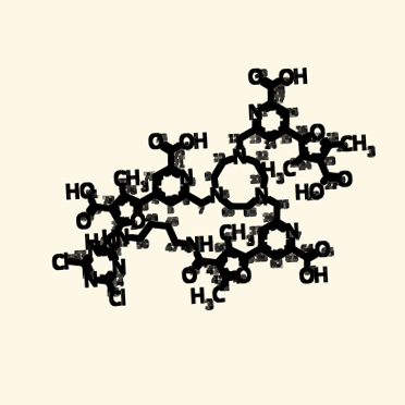 Cc1oc(-c2cc(CN3CCN(Cc4cc(-c5oc(C)c(C(=O)O)c5C)cc(C(=O)O)n4)CCN(Cc4cc(-c5oc(C)c(C(=O)NCCCCNc6nc(Cl)nc(Cl)n6)c5C)cc(C(=O)O)n4)CC3)nc(C(=O)O)c2)c(C)c1C(=O)O